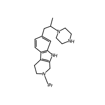 CC(C)N1CCc2c([nH]c3cc(CC(C)N4CCNCC4)ccc23)C1